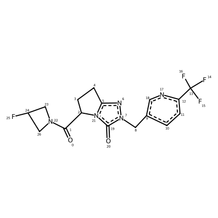 O=C(C1CCc2nn(Cc3ccc(C(F)(F)F)nc3)c(=O)n21)N1CC(F)C1